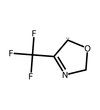 FC(F)(F)C1=NCO[C]1